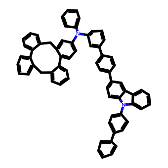 c1ccc(-c2ccc(-n3c4ccccc4c4cc(-c5ccc(-c6cccc(N(c7ccccc7)c7ccc8c(c7)Cc7ccccc7-c7ccccc7Cc7ccccc7-8)c6)cc5)ccc43)cc2)cc1